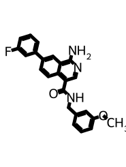 COc1cccc(CNC(=O)c2cnc(N)c3cc(-c4cccc(F)c4)ccc23)c1